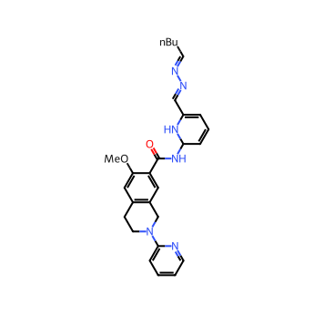 CCCC/C=N/N=C/C1=CC=CC(NC(=O)c2cc3c(cc2OC)CCN(c2ccccn2)C3)N1